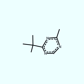 Cc1n[c]nc(C(C)(C)C)n1